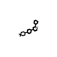 CC1(C)CCC(c2ccc(-c3ccnc(-c4ccccc4)c3)cc2)CC1